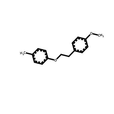 COc1ccc(CCOc2ccc(C)cc2)cc1